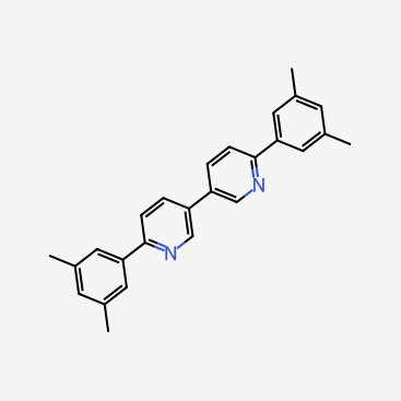 Cc1cc(C)cc(-c2ccc(-c3ccc(-c4cc(C)cc(C)c4)nc3)cn2)c1